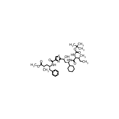 CC[C@H](C)[C@H](NC(=O)OC(C)(C)C)C(=O)N[C@H](C[C@@H](O)c1nc(C(=O)N[C@@H](Cc2ccccc2)C[C@H](C)C(=O)OC)cs1)C1CCCCC1